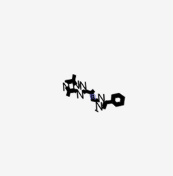 C/C(=C\c1nc(-c2ccccc2)cn1C)c1nc2c(C)ncc(C)n2n1